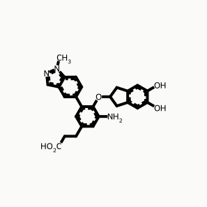 Cn1ncc2cc(-c3cc(CCC(=O)O)cc(N)c3OC3Cc4cc(O)c(O)cc4C3)ccc21